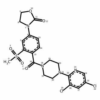 CS(=O)(=O)c1cc(N2CCOC2=O)ccc1C(=O)N1CCN(c2ncc(Cl)cc2Cl)CC1